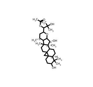 CC(=O)OC(C1C[C@@H](C)C2C(O1)[C@H](O)[C@@]1(C)C3CC[C@H]4C(C)(C)C(O)CCC45CC35CCC21C)C(C)(C)O